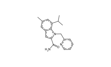 Cc1cc(C(C)C)c2c(c1)cc(C(N)=O)n2Cc1ccccn1